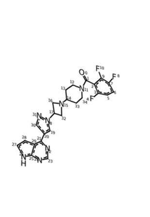 O=C(c1c(F)ccc(F)c1F)N1CCC(N2CC(n3cc(-c4ncnc5[nH]ccc45)cn3)C2)CC1